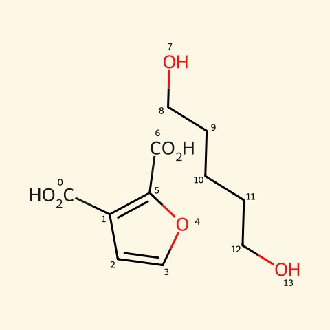 O=C(O)c1ccoc1C(=O)O.OCCCCCO